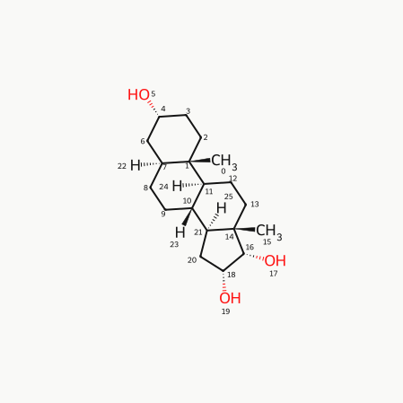 C[C@]12CC[C@@H](O)C[C@@H]1CC[C@@H]1[C@@H]2CC[C@]2(C)[C@H](O)[C@H](O)C[C@@H]12